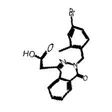 Cc1cc(Br)ccc1Cn1nc(CC(=O)O)c2ccccc2c1=O